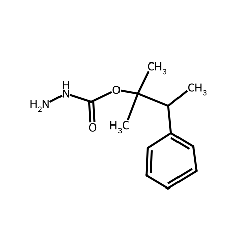 CC(c1ccccc1)C(C)(C)OC(=O)NN